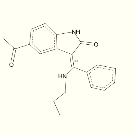 CCCN/C(=C1/C(=O)Nc2ccc(C(C)=O)cc21)c1ccccc1